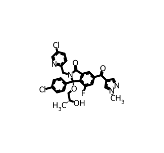 C[C@@H](O)CO[C@]1(c2ccc(Cl)cc2)c2c(F)cc(C(=O)c3cnn(C)c3)cc2C(=O)N1Cc1ccc(Cl)cn1